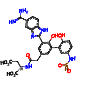 N=C(N)c1ccc2[nH]c(-c3cc(CC(=O)N[C@@H](CC(=O)O)C(=O)O)cc(-c4cc(N[SH](=O)=O)ccc4O)c3O)nc2c1